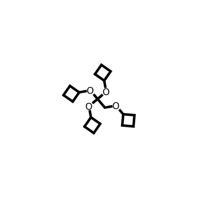 C1CC(OCC(OC2CCC2)(OC2CCC2)OC2CCC2)C1